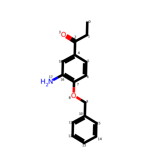 CCC(=O)c1ccc(OCc2ccccc2)c(N)c1